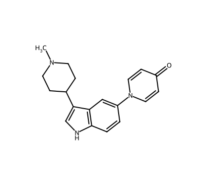 CN1CCC(c2c[nH]c3ccc(-n4ccc(=O)cc4)cc23)CC1